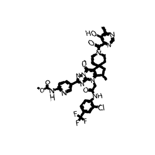 COC(=O)Nc1ccc(-c2nc3n(CC(=O)Nc4ccc(C(F)(F)F)cc4Cl)c4c(c(=O)n3n2)C2(CCN(C(=O)c3ncnc(C)c3O)CC2)CC4C)cn1